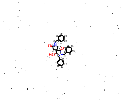 O=C1CC(CO)(C(=O)N(Cc2ccccc2)Cc2ccccc2)CN1Cc1ccccc1